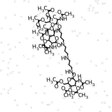 CC(=O)NC(C)[C@H](ONCCCN(CCCNCCCNO[C@@H]1OC(COC(C)=O)[C@H](OC(C)=O)C(OC(C)=O)C1NC(C)=O)O[C@@H]1OC(COC(C)=O)[C@H](OC(C)=O)C(OC(C)=O)C1NC(C)=O)OC(COC(C)=O)COC(C)=O